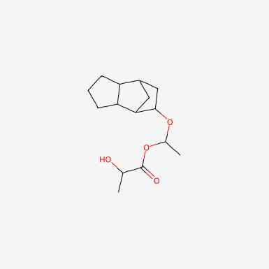 CC(OC(=O)C(C)O)OC1CC2CC1C1CCCC21